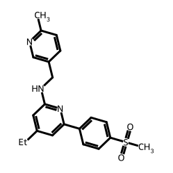 CCc1cc(NCc2ccc(C)nc2)nc(-c2ccc(S(C)(=O)=O)cc2)c1